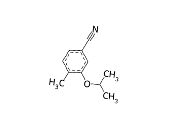 Cc1ccc(C#N)cc1OC(C)C